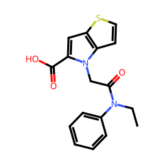 CCN(C(=O)Cn1c(C(=O)O)cc2sccc21)c1ccccc1